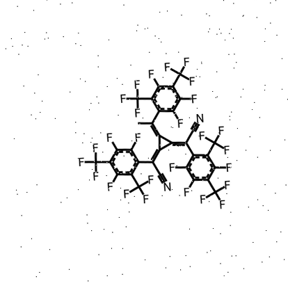 C/C(=C1\C(=C(C#N)c2c(F)c(F)c(C(F)(F)F)c(F)c2C(F)(F)F)\C1=C(\C#N)c1c(F)c(F)c(C(F)(F)F)c(F)c1C(F)(F)F)c1c(F)c(F)c(C(F)(F)F)c(F)c1C(F)(F)F